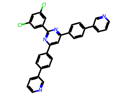 Clc1cc(Cl)cc(-c2nc(-c3ccc(-c4cccnc4)cc3)cc(-c3ccc(-c4cccnc4)cc3)n2)c1